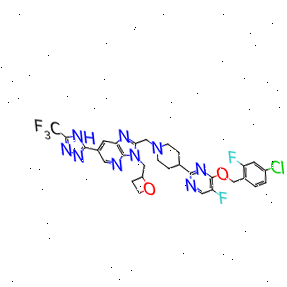 Fc1cc(Cl)ccc1COc1nc(C2CCN(Cc3nc4cc(-c5nnc(C(F)(F)F)[nH]5)cnc4n3CC3CCO3)CC2)ncc1F